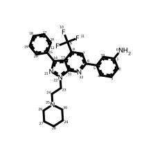 Nc1cccc(-c2cc(C(F)(F)F)c3c(-c4ccccc4)nn(CCN4CCCCC4)c3n2)c1